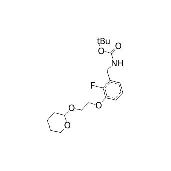 CC(C)(C)OC(=O)NCc1cccc(OCCOC2CCCCO2)c1F